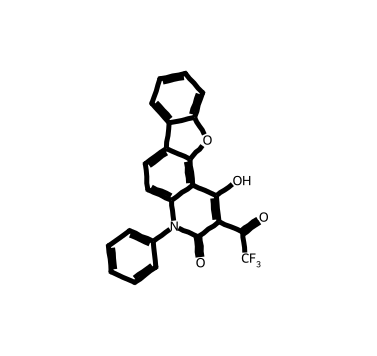 O=C(c1c(O)c2c3oc4ccccc4c3ccc2n(-c2ccccc2)c1=O)C(F)(F)F